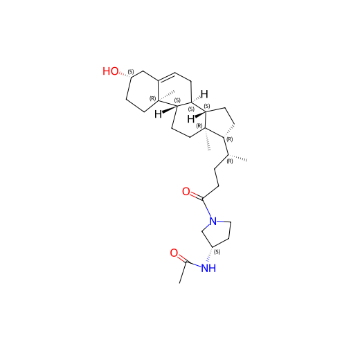 CC(=O)N[C@H]1CCN(C(=O)CC[C@@H](C)[C@H]2CC[C@H]3[C@@H]4CC=C5C[C@@H](O)CC[C@]5(C)[C@H]4CC[C@]23C)C1